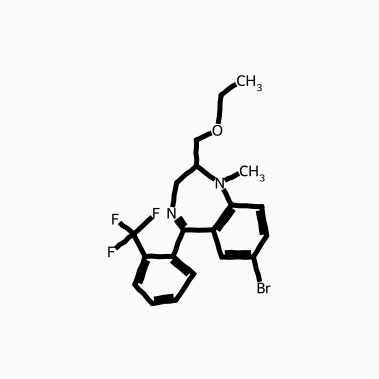 CCOCC1CN=C(c2ccccc2C(F)(F)F)c2cc(Br)ccc2N1C